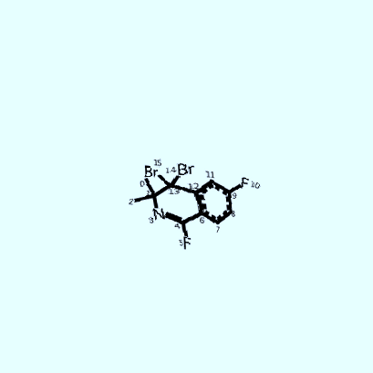 CC1(C)N=C(F)c2ccc(F)cc2C1(Br)Br